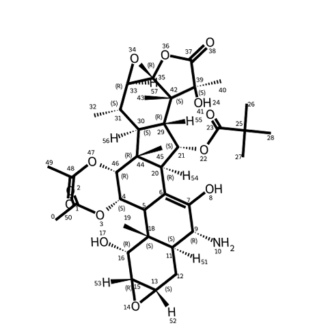 CC(=O)O[C@H]1C2C(=C(O)[C@H](N)[C@H]3C[C@@H]4O[C@@H]4[C@H](O)[C@]23C)[C@@H]2[C@@H](OC(=O)C(C)(C)C)[C@@H]3[C@H]([C@H](C)[C@H]4O[C@]45OC(=O)[C@@](C)(O)[C@]35C)[C@@]2(C)[C@H]1OC(C)=O